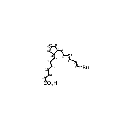 CCCCC=CCSCCC1CSCC1CCCCCCC(=O)O